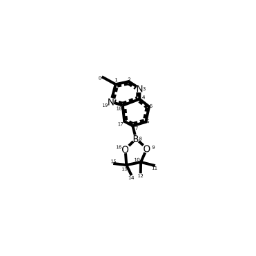 Cc1cnc2ccc(B3OC(C)(C)C(C)(C)O3)cc2n1